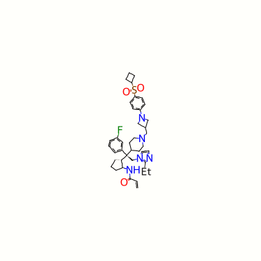 C=CC(=O)N[C@H]1CCC[C@@H]1[C@](Cn1ccnc1CC)(c1cccc(F)c1)C1CCN(CC2CN(c3ccc(S(=O)(=O)C4CCC4)cc3)C2)CC1